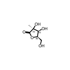 C[C@@]1(O)C(=O)O[C@H](CO)[C@@H]1O